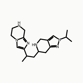 CC(CC1Cc2nn(C(C)C)cc2CN1)c1cn2c(n1)CNCC2